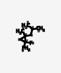 CC(C)CC1(C)CC1(F)P